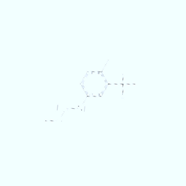 COBNc1ccc(C)c(C(F)(F)F)c1